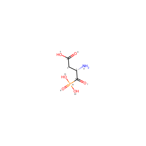 N[C@@H](CC(=O)O)C(=O)P(=O)(O)O